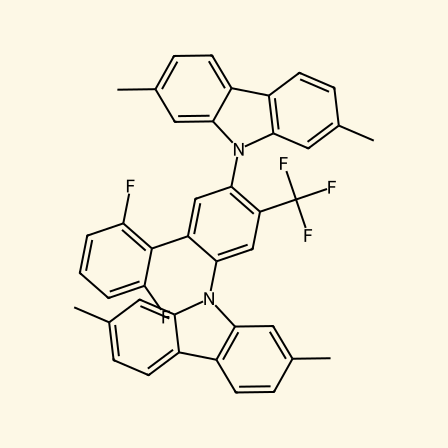 Cc1ccc2c3ccc(C)cc3n(-c3cc(C(F)(F)F)c(-n4c5cc(C)ccc5c5ccc(C)cc54)cc3-c3c(F)cccc3F)c2c1